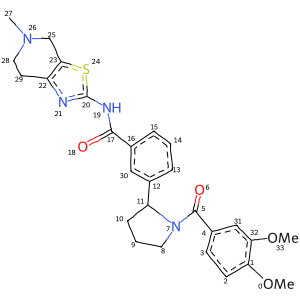 COc1ccc(C(=O)N2CCCC2c2cccc(C(=O)Nc3nc4c(s3)CN(C)CC4)c2)cc1OC